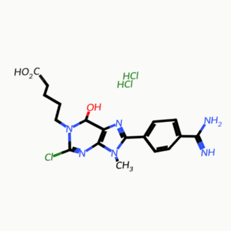 Cl.Cl.Cn1c(-c2ccc(C(=N)N)cc2)nc2c1N=C(Cl)N(CCCCC(=O)O)C2O